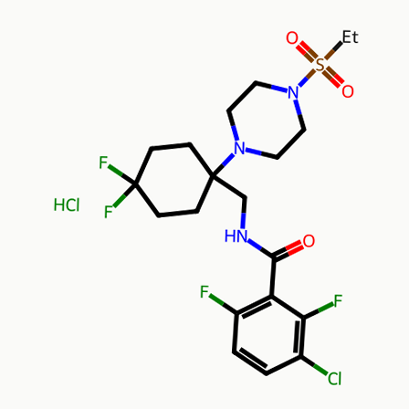 CCS(=O)(=O)N1CCN(C2(CNC(=O)c3c(F)ccc(Cl)c3F)CCC(F)(F)CC2)CC1.Cl